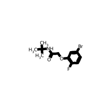 CC(C)(C)NC(=O)COc1cc(Br)ccc1F